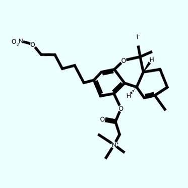 CC1=C[C@H]2c3c(OC(=O)C[N+](C)(C)C)cc(CCCCCO[N+](=O)[O-])cc3OC(C)(C)[C@@H]2CC1.[I-]